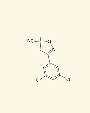 CC1(C#N)CC(c2cc(Cl)cc(Cl)c2)=NO1